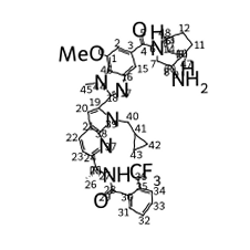 COc1cc(C(=O)N2C[C@H](N)[C@@H]3CC[C@H]2C3)cc2nc(-c3cc4ccc([C@@H](C)NC(=O)c5ccccc5C(F)(F)F)nc4n3CC3CC3)n(C)c12